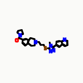 Cn1c(SCCCN2CCc3ccc(C(=O)N4CCCC4)cc3CC2)nnc1-c1ccc2ncccc2c1